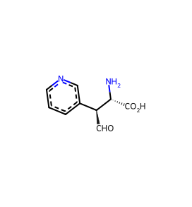 N[C@H](C(=O)O)[C@@H](C=O)c1cccnc1